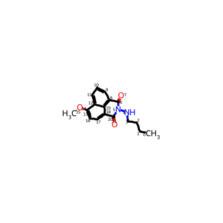 CCCCNN1C(=O)c2cccc3c(OC)ccc(c23)C1=O